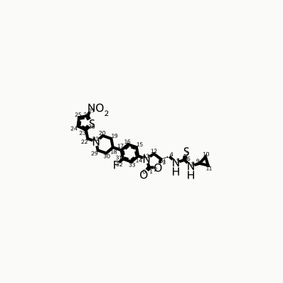 O=C1O[C@@H](CNC(=S)NC2CC2)CN1c1ccc(C2CCN(Cc3ccc([N+](=O)[O-])s3)CC2)c(F)c1